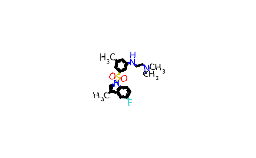 Cc1cc(NCCN(C)C)cc(S(=O)(=O)n2cc(C)c3cc(F)ccc32)c1